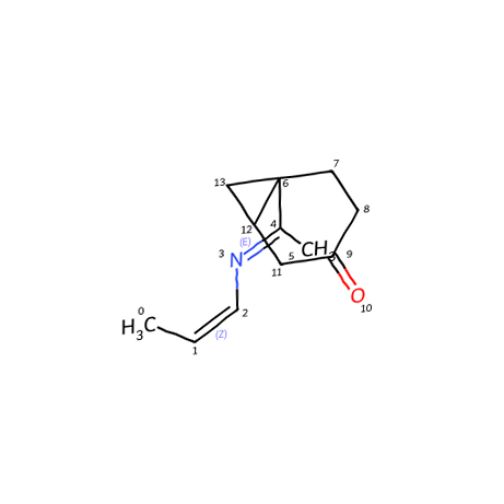 C/C=C\N=C(/C)C12CCC(=O)CC1C2